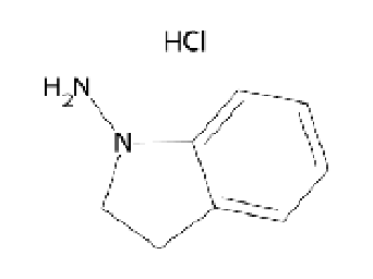 Cl.NN1CCc2ccccc21